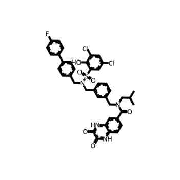 CC(C)CN(Cc1cccc(CN(Cc2ccc(-c3ccc(F)cc3)cc2)S(=O)(=O)c2cc(Cl)cc(Cl)c2O)c1)C(=O)c1ccc2[nH]c(=O)c(=O)[nH]c2c1